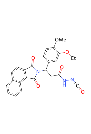 CCOc1cc(C(CC(=O)NN=C=O)N2C(=O)c3ccc4ccccc4c3C2=O)ccc1OC